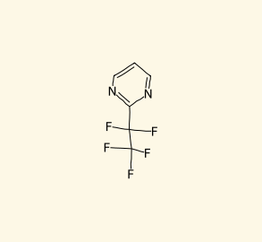 FC(F)(F)C(F)(F)c1ncccn1